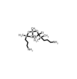 CCC(C)(O[Si](C)(C)O[Si](C)(C)CCCN)[Si](C)(C)CCCN